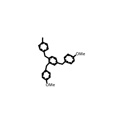 COc1ccc(Cc2ccc(Cc3ccc(C)cc3)c(Cc3ccc(OC)cc3)c2)cc1